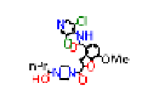 CCCC(O)N1CCN(C(=O)c2cc3c(C(=O)Nc4c(Cl)cncc4Cl)ccc(OC)c3o2)CC1